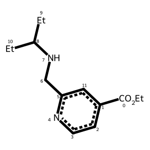 CCOC(=O)c1ccnc(CNC(CC)CC)c1